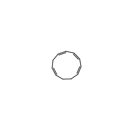 [CH]1\C=C/C=C\C=C/C/C=C\C1